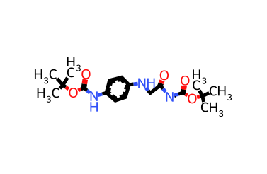 CC(C)(C)OC(=O)[N]C(=O)CNc1ccc(NC(=O)OC(C)(C)C)cc1